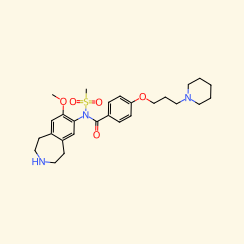 COc1cc2c(cc1N(C(=O)c1ccc(OCCCN3CCCCC3)cc1)S(C)(=O)=O)CCNCC2